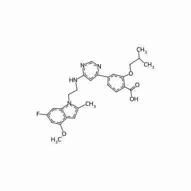 COc1cc(F)cc2c1cc(C)n2CCNc1cc(-c2ccc(C(=O)O)c(OCC(C)C)c2)ncn1